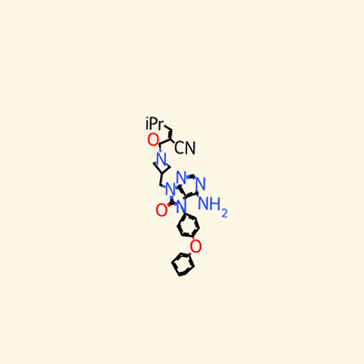 CC(C)/C=C(/C#N)C(=O)N1CC(Cn2c(=O)n(-c3ccc(Oc4ccccc4)cc3)c3c(N)ncnc32)C1